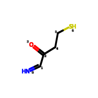 N=CC(=O)CCS